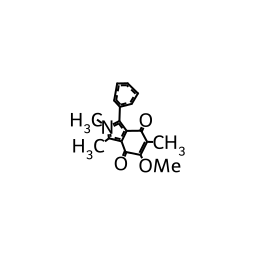 COC1=C(C)C(=O)c2c(c(C)n(C)c2-c2ccccc2)C1=O